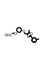 Cc1cccc(-c2nc(CO[C@H]3CCC[C@@H](OCC=O)C3)c(C)o2)c1